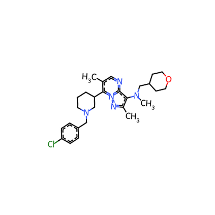 Cc1cnc2c(N(C)CC3CCOCC3)c(C)nn2c1C1CCCN(Cc2ccc(Cl)cc2)C1